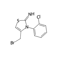 N=c1scc(CBr)n1-c1ccccc1Cl